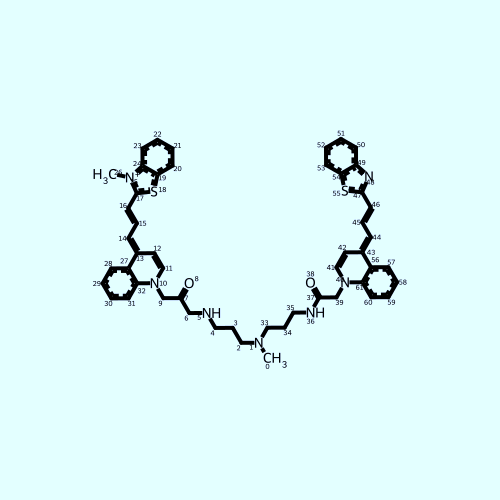 CN(CCCNCC(=O)CN1C=C/C(=C\C=C\c2sc3ccccc3[n+]2C)c2ccccc21)CCCNC(=O)CN1C=C/C(=C\C=C\c2nc3ccccc3s2)c2ccccc21